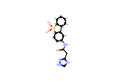 O=C(Cc1nc[nH]n1)Nc1ccc2c(c1)-c1ccccc1S2(=O)=O